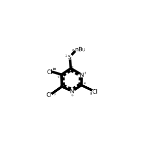 CCCCSc1nc(Cl)nc(Cl)c1Cl